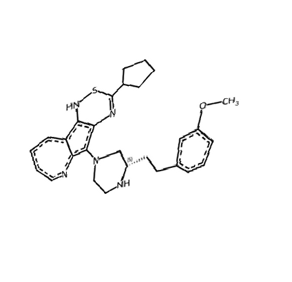 COc1cccc(CC[C@H]2CN(c3c4nccccc-4c4c3N=C(C3CCCC3)SN4)CCN2)c1